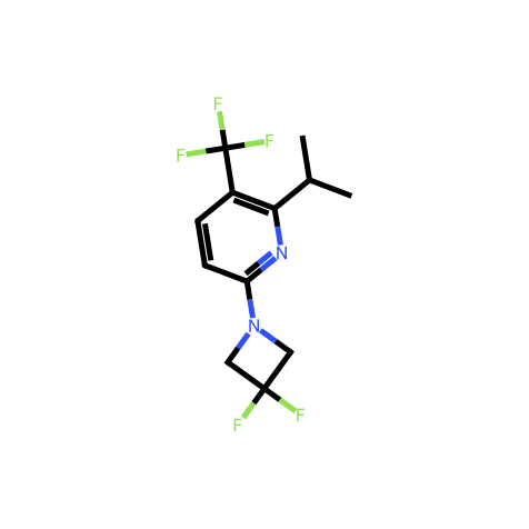 CC(C)c1nc(N2CC(F)(F)C2)ccc1C(F)(F)F